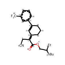 CCCCC(CC)COC(=O)C(CC#N)=C1C=C(c2cccc(C(F)(F)F)c2)CCC1